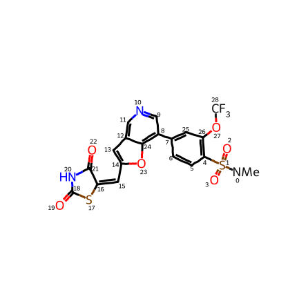 CNS(=O)(=O)c1ccc(-c2cncc3cc(C=C4SC(=O)NC4=O)oc23)cc1OC(F)(F)F